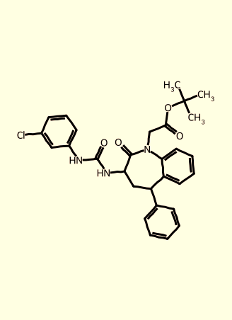 CC(C)(C)OC(=O)CN1C(=O)C(NC(=O)Nc2cccc(Cl)c2)CC(c2ccccc2)c2ccccc21